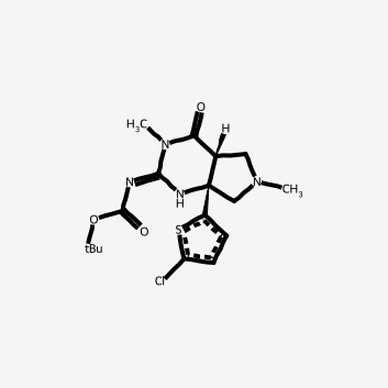 CN1C[C@H]2C(=O)N(C)/C(=N/C(=O)OC(C)(C)C)N[C@@]2(c2ccc(Cl)s2)C1